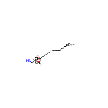 CCCCCCCCCCCCCCCC#CC#CCCCCCCCCC(=O)OC(C)(C)C1CCNCC1